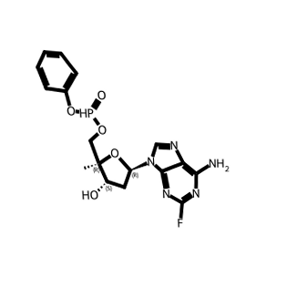 C[C@]1(CO[PH](=O)Oc2ccccc2)O[C@@H](n2cnc3c(N)nc(F)nc32)C[C@@H]1O